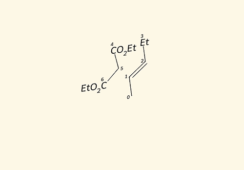 CC=CCC.CCOC(=O)CC(=O)OCC